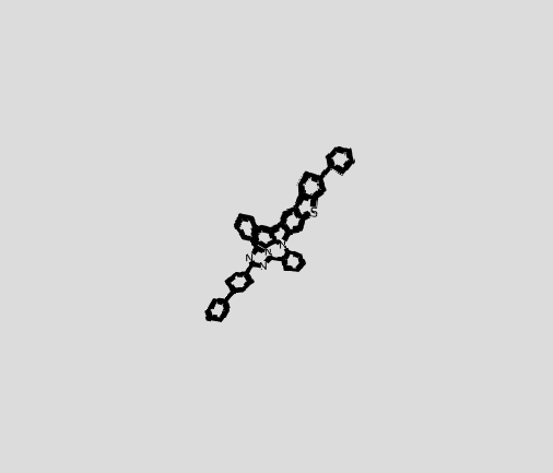 c1ccc(-c2ccc(-c3nc(-c4ccccc4)nc(-c4ccccc4-n4c5ccccc5c5cc6c(cc54)sc4cc(-c5ccccc5)ccc46)n3)cc2)cc1